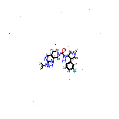 CC(C)Nc1ncc2c(n1)CN(C(=O)NC1CN(C)C[C@H]1c1cccc(F)c1)CC2